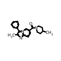 Cc1nc2ccc(C(=O)N3CCC(C)CC3)cn2c1-c1ccccc1